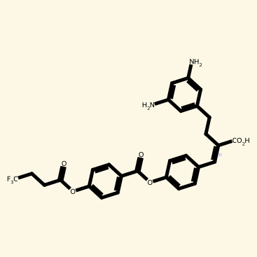 Nc1cc(N)cc(CC/C(=C\c2ccc(OC(=O)c3ccc(OC(=O)CCC(F)(F)F)cc3)cc2)C(=O)O)c1